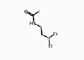 CCN(CC)CCNC(=O)I